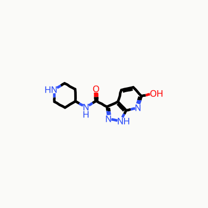 O=C(NC1CCNCC1)c1n[nH]c2nc(O)ccc12